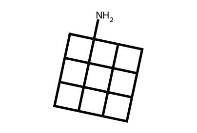 NC12CC3C4CC5C6CC7C8CC1C81C67C54C321